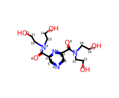 O=C(c1cncc(C(=O)N(CCO)CCO)n1)N(CCO)CCO